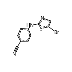 N#Cc1ccc(Nc2ncc(Br)s2)cc1